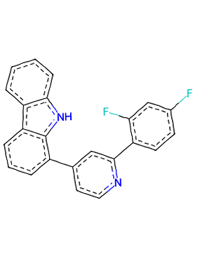 Fc1ccc(-c2cc(-c3cccc4c3[nH]c3ccccc34)ccn2)c(F)c1